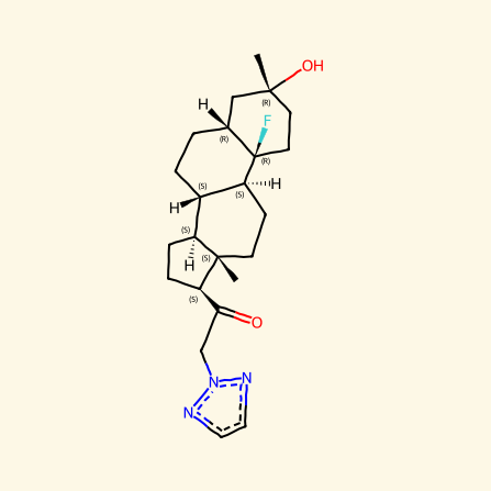 C[C@@]1(O)CC[C@@]2(F)[C@H](CC[C@H]3[C@@H]4CC[C@H](C(=O)Cn5nccn5)[C@@]4(C)CC[C@@H]32)C1